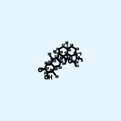 CC[C@@]1(C)[C@@H]2C[C@](C)(N(C)C(C)=O)CC[C@]2(C)CC[C@]1(C)C1=CC=C2C(=CC(=O)C(O)=C2C)[C@H]1C